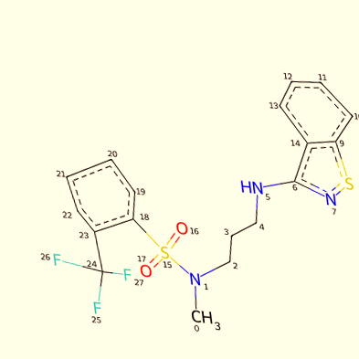 CN(CCCNc1nsc2ccccc12)S(=O)(=O)c1ccccc1C(F)(F)F